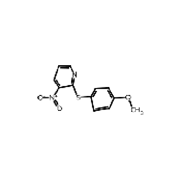 COc1ccc(Sc2ncccc2[N+](=O)[O-])cc1